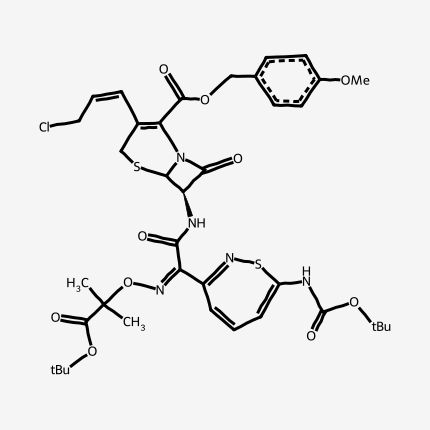 COc1ccc(COC(=O)C2=C(/C=C\CCl)CSC3[C@H](NC(=O)/C(=N\OC(C)(C)C(=O)OC(C)(C)C)C4=NSC(NC(=O)OC(C)(C)C)=CC=C4)C(=O)N23)cc1